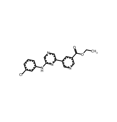 CCOC(=O)c1cncc(-c2cncc(Nc3cccc(Cl)c3)n2)c1